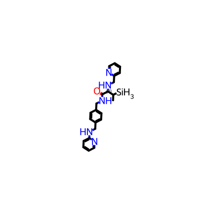 CC([SiH3])[C@H](NCc1ccccn1)C(=O)NCc1ccc(CNc2ccccn2)cc1